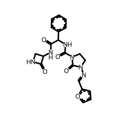 O=C1NCC1NC(=O)C(NC(=O)N1CCN(N=Cc2ccco2)C1=O)c1ccccc1